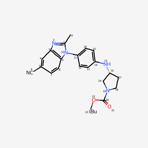 Cc1nc2cc(C#N)ccc2n1-c1ccc(N[C@@H]2CCN(C(=O)OC(C)(C)C)C2)cc1